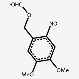 COc1cc(CO[C]=O)c(N=O)cc1OC